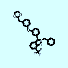 FC(F)(F)c1cccc2c(-c3cccc(Oc4cccc(CC5OCCO5)c4)c3)n(Cc3ccccc3)nc12